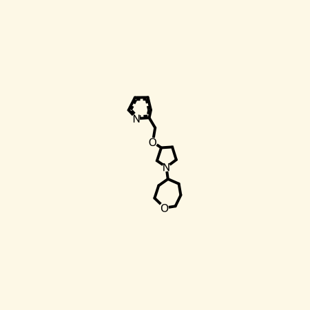 c1ccc(COC2CCN(C3CCCOCC3)C2)nc1